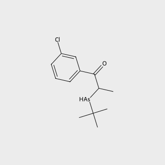 CC([AsH]C(C)(C)C)C(=O)c1cccc(Cl)c1